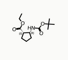 CCOC(=O)[C@H]1CCC[C@H]1NC(=O)OC(C)(C)C